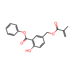 C=C(C)C(=O)OCc1ccc(O)c(C(=O)Oc2ccccc2)c1